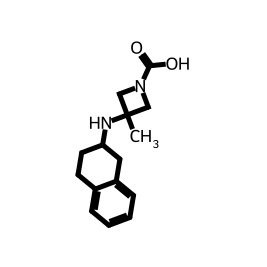 CC1(NC2CCc3ccccc3C2)CN(C(=O)O)C1